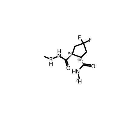 [2H]NC(=O)[C@H]1CC(F)(F)C[C@@H]1C(=O)NBC